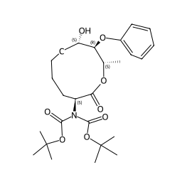 C[C@@H]1OC(=O)[C@@H](N(C(=O)OC(C)(C)C)C(=O)OC(C)(C)C)CCCC[C@H](O)[C@H]1Oc1ccccc1